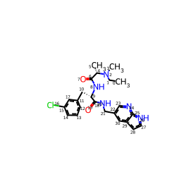 CCN(C)[C@@H](C)C(=O)N[C@@H](Cc1cccc(Cl)c1)C(=O)NCc1cnc2[nH]ccc2c1